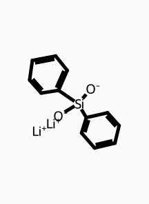 [Li+].[Li+].[O-][Si]([O-])(c1ccccc1)c1ccccc1